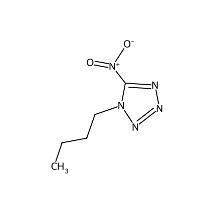 CCCCn1nnnc1[N+](=O)[O-]